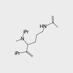 C=C(C)NCCCC(C(=C)C(C)C)N(C)C(C)C